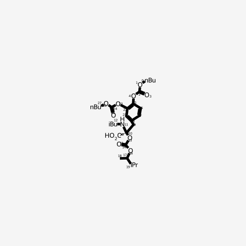 CCCCOC(=O)Oc1ccc(C[C@](NC(C)CC)(OC(=O)OC(C)C(C)C)C(=O)O)cc1OC(=O)OCCCC